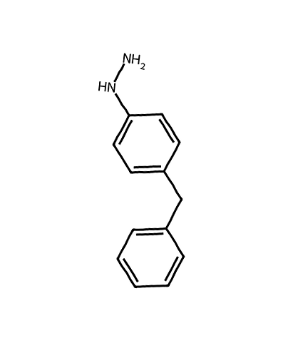 NNc1ccc(Cc2ccccc2)cc1